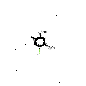 CCCC(C)c1cc(OC)c(F)cc1C